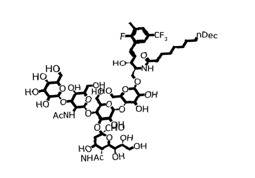 CCCCCCCCCCCCCCCCCC(=O)N[C@@H](CO[C@@H]1OC(CO)[C@@H](O[C@@H]2OC(CO)[C@H](O[C@@H]3OC(CO)[C@H](O)C(O[C@@H]4OC(CO)[C@H](O)C(O)C4O)C3NC(C)=O)C(O[C@]3(C=O)CC(O)[C@@H](NC(C)=O)C([C@H](O)[C@H](O)CO)O3)C2O)C(O)C1O)[C@H](O)/C=C/c1cc(C(F)(F)F)cc(C)c1F